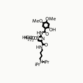 COc1cc(O)c(C(=O)Nc2nc(C(=O)NCCCCN(C(C)C)C(C)C)cs2)cc1OC.Cl.O.O.O